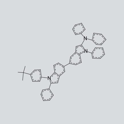 CC(C)(C)c1ccc(-n2c(-c3ccccc3)cc3cc(-c4ccc5c(c4)cc(N(c4ccccc4)c4ccccc4)n5-c4ccccc4)ccc32)cc1